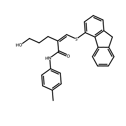 Cc1ccc(NC(=O)C(=CSc2cccc3c2-c2ccccc2C3)CCCO)cc1